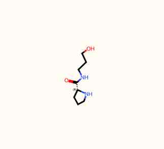 O=C(NCCCO)[C@H]1CCCN1